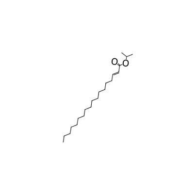 CCCCCCCCCCCCCCCC=CC(=O)OC(C)C